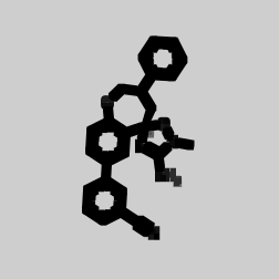 CN1O[C@]2(CC(c3ccccc3)COc3ccc(-c4cccc(C#N)c4)cc32)N=C1N